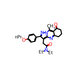 CCCOc1ccc(-c2nn3c(C)c4c(nc3c2CC(=O)N(CC)CC)CCCC4=O)cc1